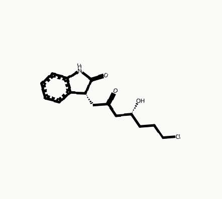 O=C(C[C@H](O)CCCCl)C[C@H]1C(=O)Nc2ccccc21